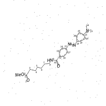 COC(=O)CCCCCCNC(=O)c1ccc(/N=N/c2ccc(N(C)C)cc2)cc1